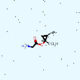 CCC[C@@H]1C[C@]1(OC(=O)CN)C(=O)O